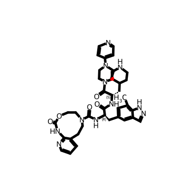 Cc1cc(C[C@@H](NC(=O)N2CCOC(=O)Nc3ncccc3CC2)C(=O)N[C@@H](CC2CCNCC2)C(=O)N2CCN(c3ccncc3)CC2)cc2cn[nH]c12